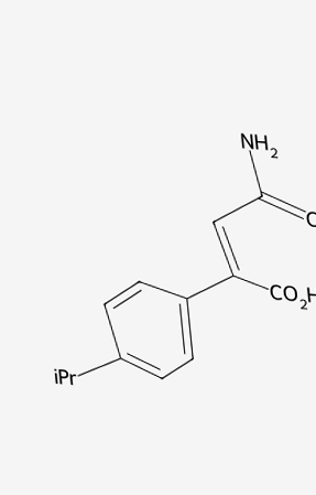 CC(C)c1ccc(C(=CC(N)=O)C(=O)O)cc1